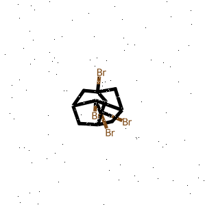 BrC1CC2(Br)CC3CC1CC(C2)C3(Br)Br